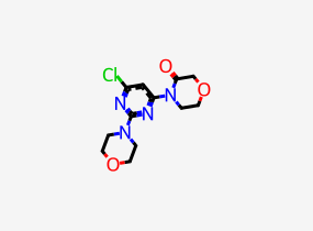 O=C1COCCN1c1cc(Cl)nc(N2CCOCC2)n1